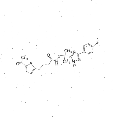 CC(C)(CNC(=O)CCCc1ccc(C(=O)C(F)(F)F)s1)c1nc(-c2ccc(F)cc2)n[nH]1